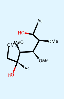 COC[C@](O)(C(C)=O)[C@@H](OC)[C@H](OC)[C@H](OC)C(O)C(C)=O